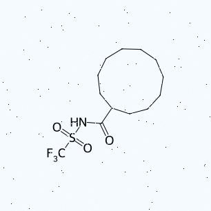 O=C(NS(=O)(=O)C(F)(F)F)C1CCCCCCCCCC1